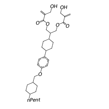 C=C(CO)C(=O)OCC(COC(=O)C(=C)CO)C1CCC(c2ccc(OCC3CCC(CCCCC)CC3)cc2)CC1